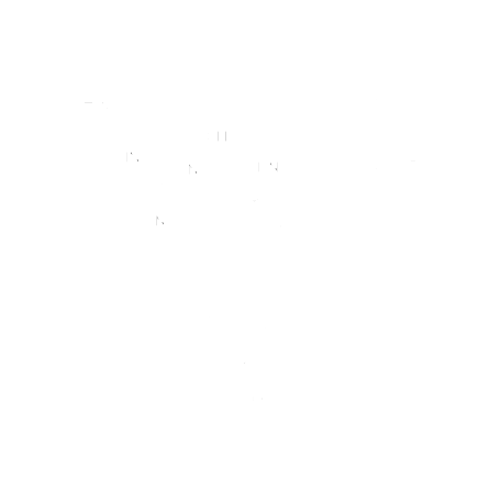 CCNc1nc(C2CC3CC(=O)CC3C2)c(C(=O)Nc2ccc(F)c(Cl)c2)n1C